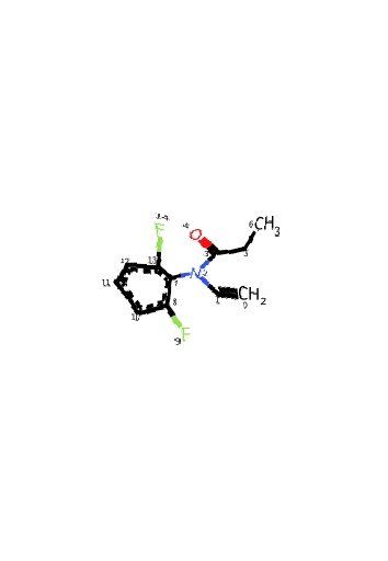 C=CN(C(=O)CC)c1c(F)cccc1F